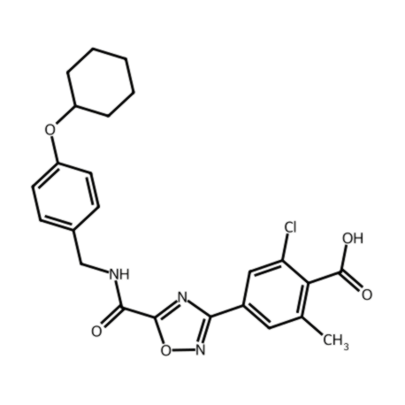 Cc1cc(-c2noc(C(=O)NCc3ccc(OC4CCCCC4)cc3)n2)cc(Cl)c1C(=O)O